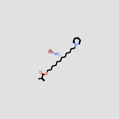 Br.C=C(C)C(=O)OCCCCCCCCCCCC[n+]1ccccc1.N.[Br-]